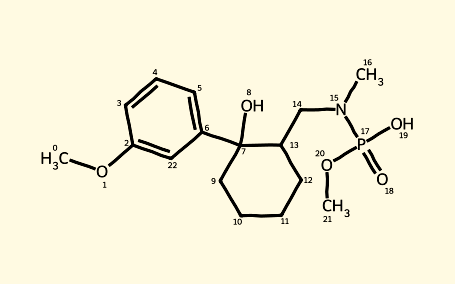 COc1cccc(C2(O)CCCCC2CN(C)P(=O)(O)OC)c1